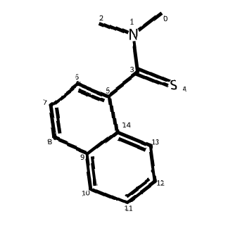 CN(C)C(=S)c1cccc2ccccc12